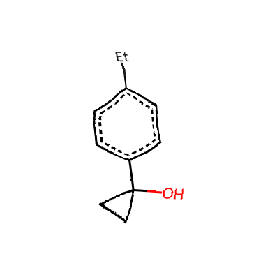 CCc1ccc(C2(O)CC2)cc1